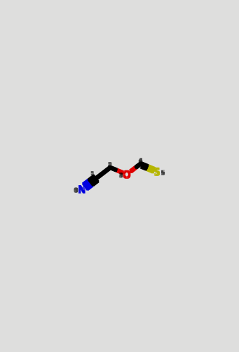 N#CCOC=S